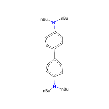 CCCCN(CCCC)c1ccc(-c2ccc(N(CCCC)CCCC)cc2)cc1